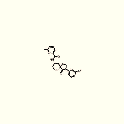 Cc1cccc(C(=O)N[C@H]2CCC[C@@]3(CCN(c4cccc(Cl)c4)C3=O)C2)n1